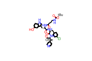 COC(=O)[C@H](Cc1ccncc1)NC(=O)[C@H](Cc1ccc(Cl)cc1)NC(=O)[C@H](Cc1c[nH]c2ccc(O)cc12)NC(=O)CCCNC(=O)OC(C)(C)C